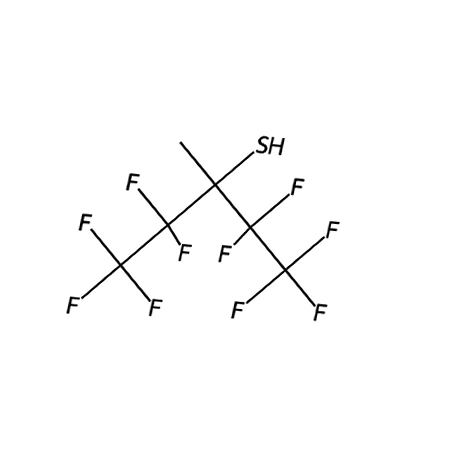 CC(S)(C(F)(F)C(F)(F)F)C(F)(F)C(F)(F)F